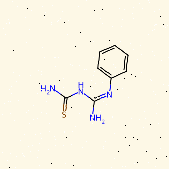 NC(=S)NC(N)=Nc1ccccc1